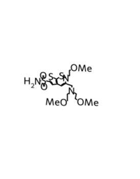 COCCN(CCOC)CC1=Cc2cc(S(N)(=O)=O)sc2SN1CCOC